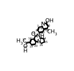 Cc1cc(O)nc2ccc(NC(=O)c3cc(C(C)O)ccc3N3CCCC3)cc12